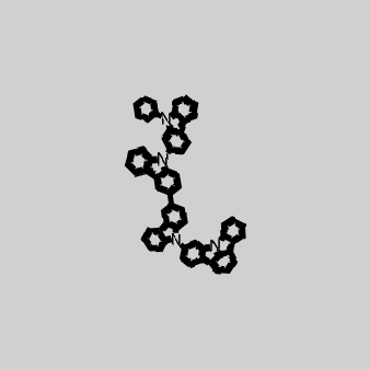 c1ccc(-n2c3ccccc3c3ccc(-n4c5ccccc5c5cc(-c6ccc7c(c6)c6ccccc6n7-c6ccc7c8cccc9c%10ccccc%10n(c7c6)c98)ccc54)cc32)cc1